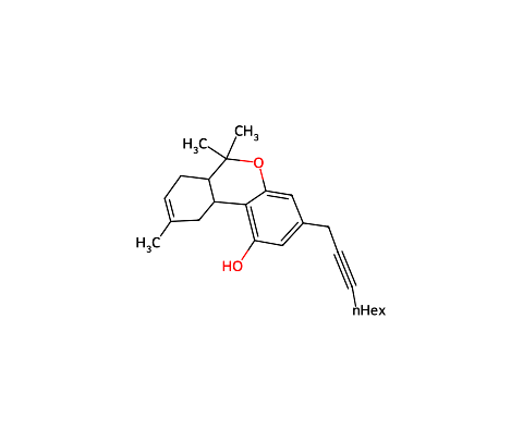 CCCCCCC#CCc1cc(O)c2c(c1)OC(C)(C)C1CC=C(C)CC21